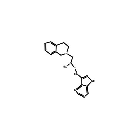 O[C@H](CNc1n[nH]c2cncnc12)CN1CCc2ccccc2C1